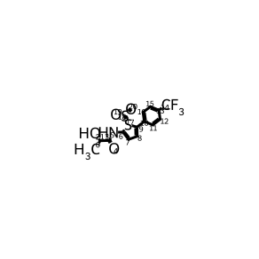 CC(O)C(=O)NC1=CC=C(c2ccc(C(F)(F)F)cc2)S1=S(=O)=O